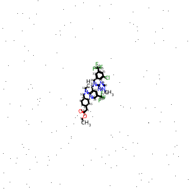 CCOC(=O)CC1CCC(CN(CC)c2ncc(C(F)(F)F)cc2CN(Cc2cc(Cl)cc(C(F)(F)F)c2)c2ncn(C)n2)CC1